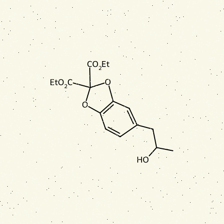 CCOC(=O)C1(C(=O)OCC)Oc2ccc(CC(C)O)cc2O1